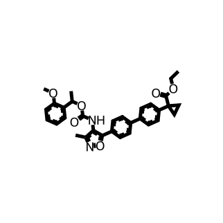 CCOC(=O)C1(c2ccc(-c3ccc(-c4onc(C)c4NC(=O)OC(C)c4ccccc4OC)cc3)cc2)CC1